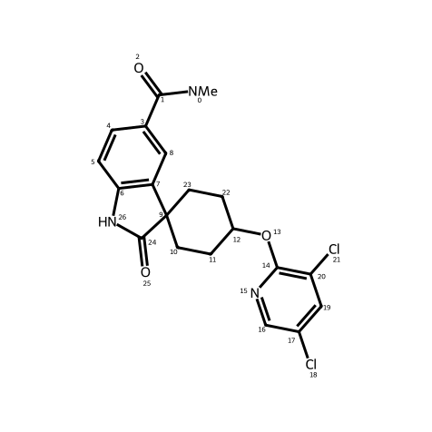 CNC(=O)c1ccc2c(c1)C1(CCC(Oc3ncc(Cl)cc3Cl)CC1)C(=O)N2